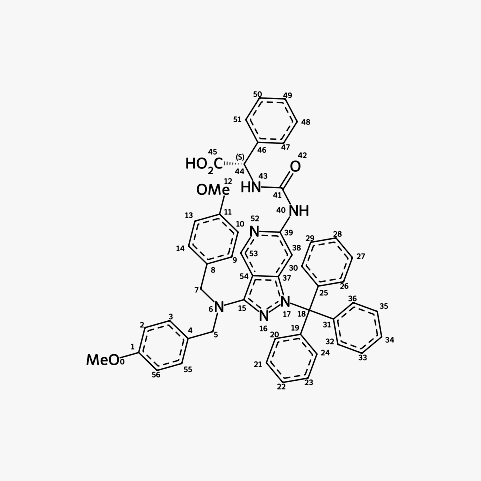 COc1ccc(CN(Cc2ccc(OC)cc2)c2nn(C(c3ccccc3)(c3ccccc3)c3ccccc3)c3cc(NC(=O)N[C@H](C(=O)O)c4ccccc4)ncc23)cc1